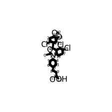 CC(=O)N(c1ccc(/C=C/C(=O)O)cc1)c1ccc(Cl)c(Cl)c1Cc1cc2c(cc1Cl)OCO2